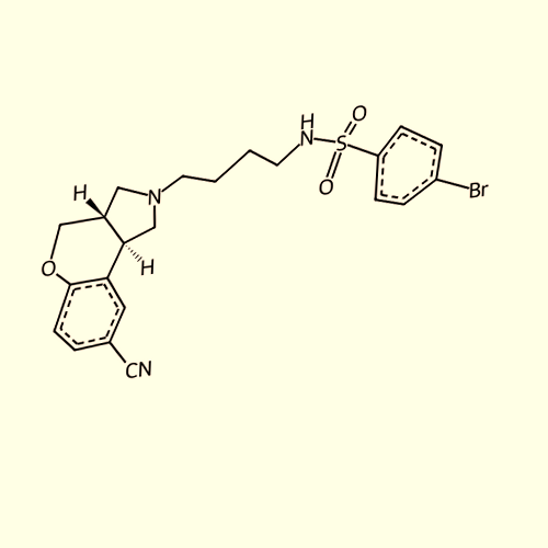 N#Cc1ccc2c(c1)[C@@H]1CN(CCCCNS(=O)(=O)c3ccc(Br)cc3)C[C@H]1CO2